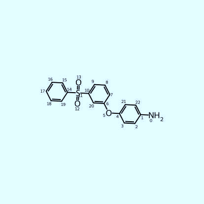 Nc1ccc(Oc2cccc(S(=O)(=O)c3ccccc3)c2)cc1